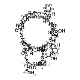 CC(C)[C@@H]1NC(=O)[C@H](Cc2c[nH]c3ccccc23)NC(=O)[C@H]2NC(=O)[C@H](CCC(=O)O)NC(=O)[C@H]([C@@H](C)O)NC(=O)[C@@H](NC(=O)[C@H](C)N)CSCCS(=O)(=O)N3CCN(CC(O)(C3)N2)S(=O)(=O)CCSC[C@@H](C(N)=O)NC(=O)[C@@H]2CCCN2C(=O)[C@H](C(C)C)NC(=O)[C@H](Cc2c[nH]c3ccccc23)NC(=O)CNC(=O)[C@H](CC(=O)O)NC1=O